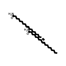 C=C.CCCCCCCCC=CCCCCCCCC(N)=O.CCCCCCCCC=CCCCCCCCC(N)=O